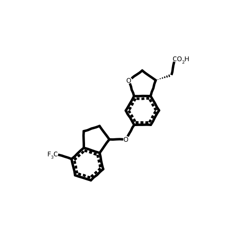 O=C(O)C[C@H]1COc2cc(OC3CCc4c3cccc4C(F)(F)F)ccc21